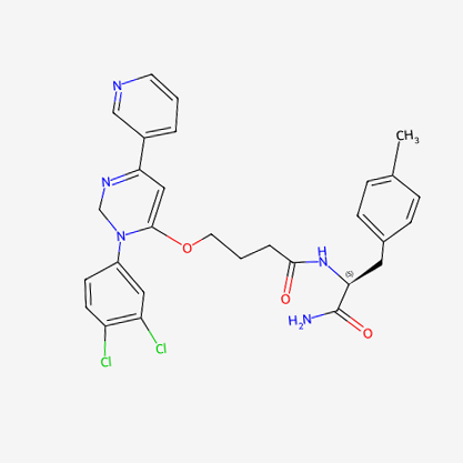 Cc1ccc(C[C@H](NC(=O)CCCOC2=CC(c3cccnc3)=NCN2c2ccc(Cl)c(Cl)c2)C(N)=O)cc1